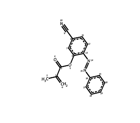 C=C(C)C(=O)Oc1cc(C#N)ccc1N=Nc1ccccc1